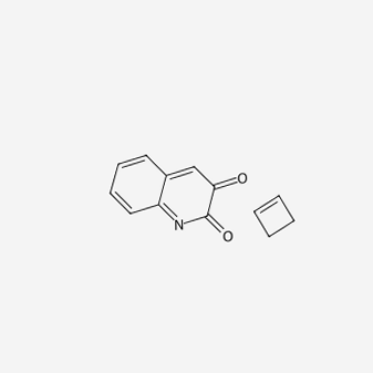 C1=CCC1.O=C1C=c2ccccc2=NC1=O